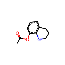 CC(=O)Oc1cccc2c1[N]CCC2